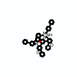 C1=CC2Oc3ccc(C4=NC(c5ccccc5)=NC(c5ccc(-c6ccccc6)cc5)N4)c(-c4cccc(-c5cc6c(cc5-n5c7ccccc7c7cc(-c8ccccc8)ccc75)oc5ccccc56)c4)c3C2C=C1